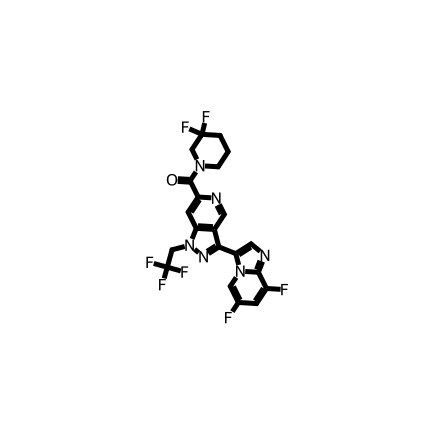 O=C(c1cc2c(cn1)c(-c1cnc3c(F)cc(F)cn13)nn2CC(F)(F)F)N1CCCC(F)(F)C1